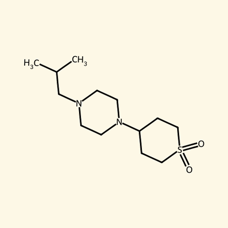 CC(C)CN1CCN(C2CCS(=O)(=O)CC2)CC1